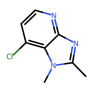 Cc1nc2nccc(Cl)c2n1C